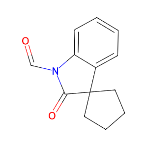 O=CN1C(=O)C2(CCCC2)c2ccccc21